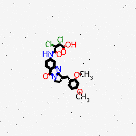 COc1ccc(/C=C2\CCn3c2nc2cc(NC(=O)/C(Cl)=C(/Cl)C(=O)O)ccc2c3=O)c(OC)c1